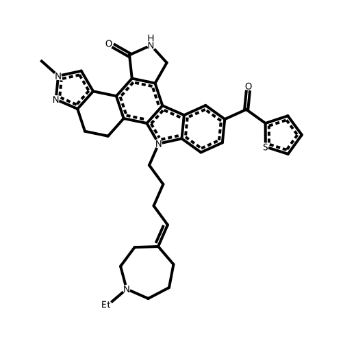 CCN1CCC/C(=C/CCCn2c3ccc(C(=O)c4cccs4)cc3c3c4c(c5c(c32)CCc2nn(C)cc2-5)C(=O)NC4)CC1